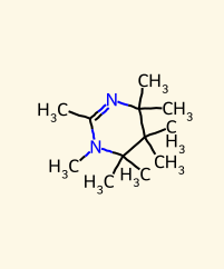 CC1=NC(C)(C)C(C)(C)C(C)(C)N1C